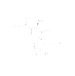 CC(C)(C)[C@H](NC(=O)C(F)(F)F)C(=O)N1C[C@@]2(C)[C@@H]([C@H]1C(=O)O)C2(C)C